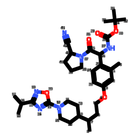 Cc1cc(OCCC(C)C2CCN(c3nc(C(C)C)no3)CC2)ccc1C(NC(=O)OC(C)(C)C)C(=O)N1CCCC1C#N